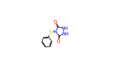 O=c1[nH][nH]c(=O)n1Sc1ccccc1